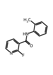 Cc1ccccc1NC(=O)c1cccnc1F